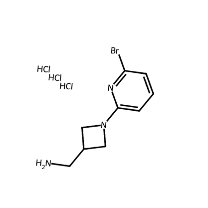 Cl.Cl.Cl.NCC1CN(c2cccc(Br)n2)C1